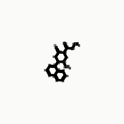 COC(=O)C1CN(C)C(c2cccc3ccccc23)CC1=O